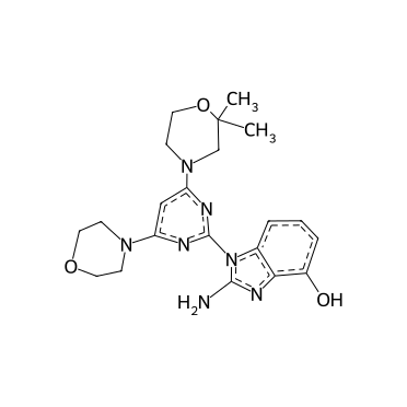 CC1(C)CN(c2cc(N3CCOCC3)nc(-n3c(N)nc4c(O)cccc43)n2)CCO1